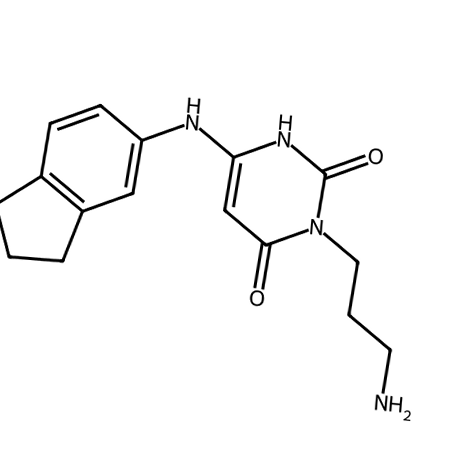 NCCCn1c(=O)cc(Nc2ccc3c(c2)CCC3)[nH]c1=O